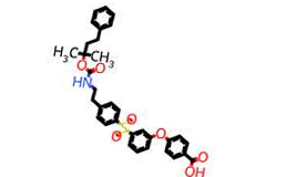 CC(C)(CCc1ccccc1)OC(=O)NCCc1ccc(S(=O)(=O)c2cccc(Oc3ccc(C(=O)O)cc3)c2)cc1